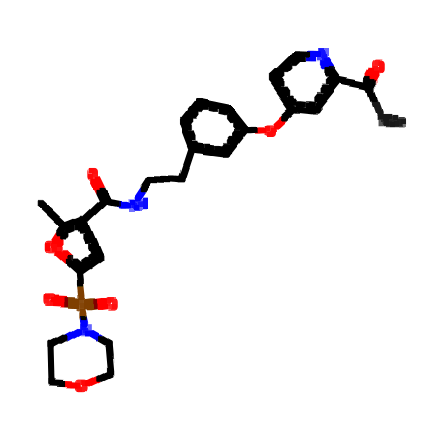 CNC(=O)c1cc(Oc2cccc(CCNC(=O)c3cc(S(=O)(=O)N4CCOCC4)oc3C)c2)ccn1